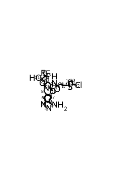 Nc1ncnc2cc(CN3CC[C@@H](NC(=O)C=Cc4ccc(Cl)s4)C3=O)ccc12.O=C(O)C(F)(F)F